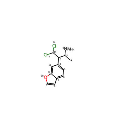 CNC(C)C(c1ccc2ccoc2c1)C(Cl)Cl